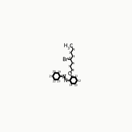 CCCCC(Br)CCCOc1ccccc1N=Nc1ccccc1